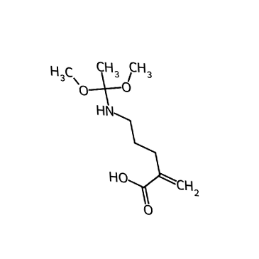 C=C(CCCNC(C)(OC)OC)C(=O)O